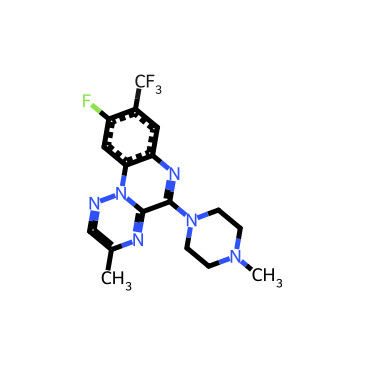 CC1=C=NN2C(=N1)C(N1CCN(C)CC1)=Nc1cc(C(F)(F)F)c(F)cc12